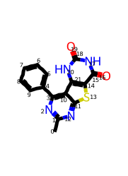 Cc1nc(-c2ccccc2)c2c(n1)sc1c(=O)[nH]c(=O)[nH]c12